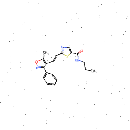 CCCNC(=O)c1cnc(C=Cc2c(-c3ccccc3)noc2C)s1